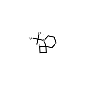 CC(C)(C)N1CCOCC12CCC2